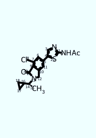 CC(=O)Nc1ncc(-c2cc(Cl)c3c(c2)CN([C@@H](C)C2CC2)C3=O)s1